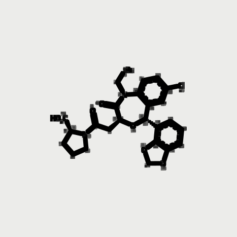 CC(C)(C)CN1C(=O)[C@H](CC(=O)N2CCC[C@H]2C(=O)O)O[C@@H](c2cccc3c2OCO3)c2cc(Cl)ccc21